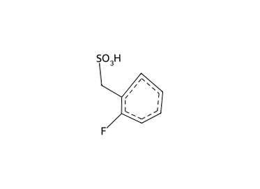 O=S(=O)(O)Cc1ccccc1F